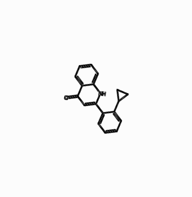 O=c1cc(-c2ccccc2C2CC2)[nH]c2ccccc12